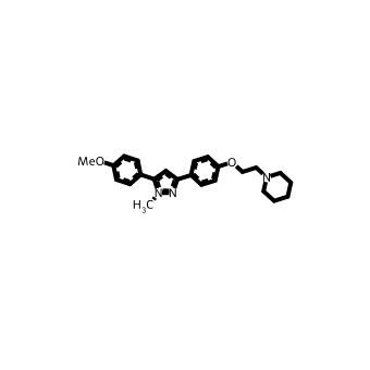 COc1ccc(-c2cc(-c3ccc(OCCN4CCCCC4)cc3)nn2C)cc1